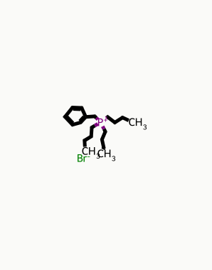 CCCC[P+](CCCC)(CCCC)Cc1ccccc1.[Br-]